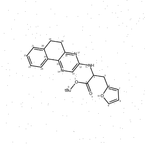 CC(C)(C)OC(=O)C(Cc1ccco1)Nc1cnc2c(n1)CCc1ccccc1-2